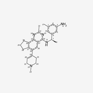 Cc1cc(N)cc([C@@H](C)Nc2nc(C)nc3c4c(c(C5=CCN(C)CC5)cc23)CCC4)c1